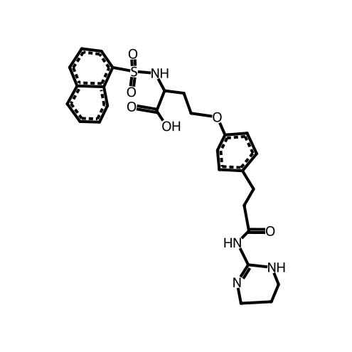 O=C(CCc1ccc(OCCC(NS(=O)(=O)c2cccc3ccccc23)C(=O)O)cc1)NC1=NCCCN1